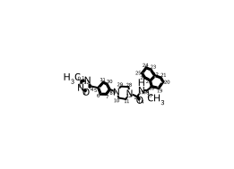 Cc1noc(-c2ccc(N3CCN(C(=O)N[C@@H](C)c4cccc5ccccc45)CC3)cc2)n1